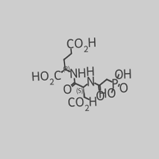 O=C(O)CC[C@@H](NC(=O)[C@H](CC(=O)O)NC(=O)CP(=O)(O)O)C(=O)O